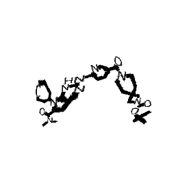 CN(C)C(=O)c1cc2cnc(Nc3ccc(C(=O)N4CCC5(CC4)CN(C(=O)OC(C)(C)C)C5)cn3)nc2n1C1CCCCCC1